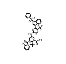 CC(C)(C)C1[C@H](c2nnc3ccccn23)C[C@H](Nc2ncc(C(F)(F)F)c(-c3cn(S(=O)(=O)c4ccccc4)c4ccccc34)n2)CN1C(=O)O